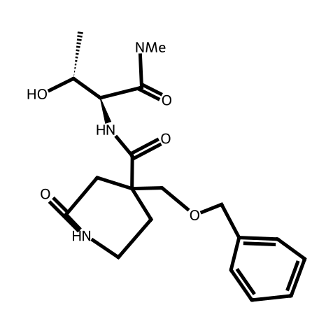 CNC(=O)[C@@H](NC(=O)C1(COCc2ccccc2)CCNC(=O)C1)[C@@H](C)O